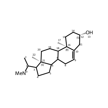 CNC(C)C1CCC2C3CC=C4C[C@@H](O)CC[C@]4(C)C3CC[C@]12C